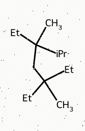 CCC(C)(CC)CC(C)(CC)[C](C)C